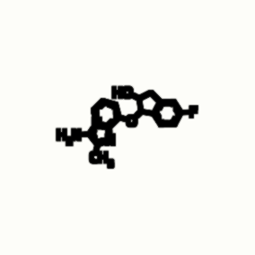 Cc1nc2c(OC3c4ccc(F)cc4CC3O)cccn2c1N